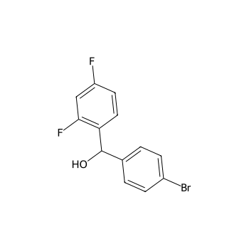 OC(c1ccc(Br)cc1)c1ccc(F)cc1F